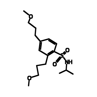 COCCCc1ccc(S(=O)(=O)NC(C)C)c(CCCOC)c1